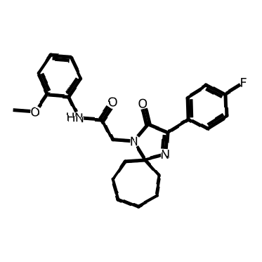 COc1ccccc1NC(=O)CN1C(=O)C(c2ccc(F)cc2)=NC12CCCCCC2